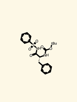 CC(C)(C)OC(=O)N[C@H](Cc1ccccc1)C(=O)NS(=O)(=O)c1ccccc1